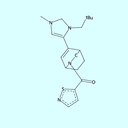 CN1C=C(C2=CC3CCC2CN3C(=O)c2ccns2)N(CC(C)(C)C)C1